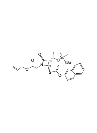 C=CCOC(=O)CN1C(=O)[C@H](C(C)O[Si](C)(C)C(C)(C)C)[C@H]1SC(=S)Oc1ccc2ccccc2c1